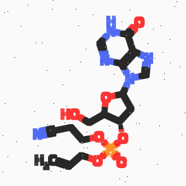 C=CCOP(=O)(OCCC#N)O[C@H]1CC(n2cnc3c(=O)[nH]cnc32)OC1CO